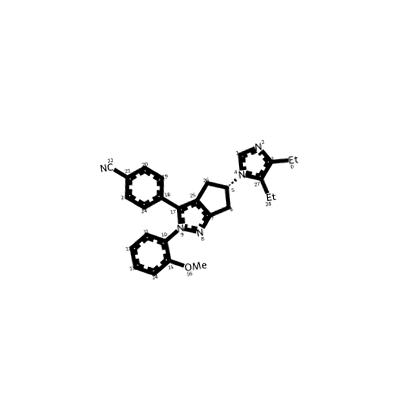 CCc1ncn([C@@H]2Cc3nn(-c4ccccc4OC)c(-c4ccc(C#N)cc4)c3C2)c1CC